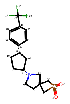 O=S1(=O)CC2(CCN([C@@H]3CC[C@H](c4ccc(C(F)(F)F)cc4)C3)C2)C1